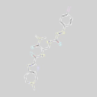 CN1CCc2nc(C(=O)NC(CNC(=O)/N=N/c3ccc(Cl)cc3)C(=O)N(C)C)sc2C1